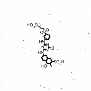 Cc1c(S(=O)(=O)O)cc2cc(Nc3nc(Cl)nc(Nc4cccc(S(=O)(=O)CCOS(=O)(=O)O)c4)n3)ccc2c1O